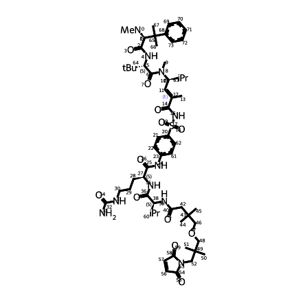 CN[C@H](C(=O)N[C@H](C(=O)N(C)[C@H](/C=C(\C)C(=O)NS(=O)(=O)c1ccc(NC(=O)[C@H](CCCNC(N)=O)NC(=O)[C@@H](NC(=O)CC(C)(C)COCC(C)(C)CN2C(=O)C=CC2=O)C(C)C)cc1)C(C)C)C(C)(C)C)C(C)(C)c1ccccc1